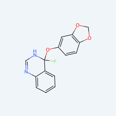 FC1(Oc2ccc3c(c2)OCO3)NC=Nc2ccccc21